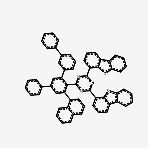 c1ccc(-c2cccc(-c3cc(-c4ccccc4)cc(-c4cccc5ccccc45)c3-c3nc(-c4cccc5c4oc4ccccc45)nc(-c4cccc5c4oc4ccccc45)n3)c2)cc1